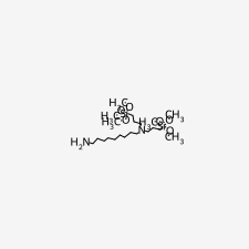 CO[Si](CCCN(CCCCCCCCCN)CCC[Si](OC)(OC)OC)(OC)OC